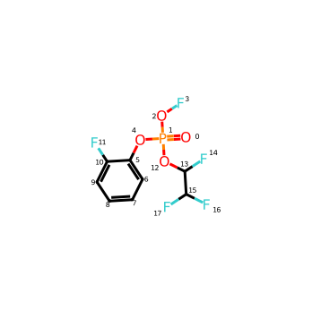 O=P(OF)(Oc1ccccc1F)OC(F)C(F)F